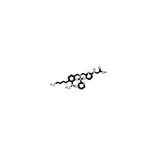 CCCCCc1ccc(CN(Cc2cccc(NCC(=O)O)n2)S(=O)(=O)c2ccccn2)cc1N(C)C